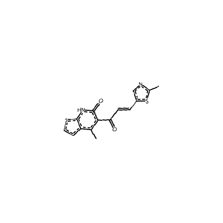 Cc1ncc(C=CC(=O)c2c(C)c3ccsc3[nH]c2=O)s1